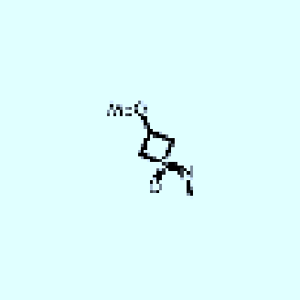 CN=S1(=O)CC(OC)C1